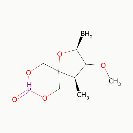 B[C@@H]1OC2(CO[PH](=O)OC2)[C@H](C)C1OC